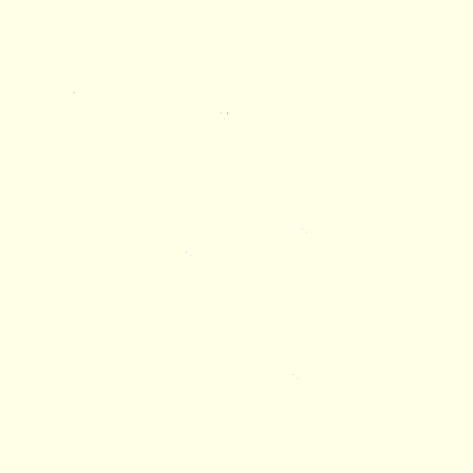 COc1cccc(OC)c1-c1ccc(C[C@H](NCC2(S(=O)(=O)CCN3CCCCC3)CCCN(C(=O)OC(C)(C)C)C2)C(=O)O)cc1